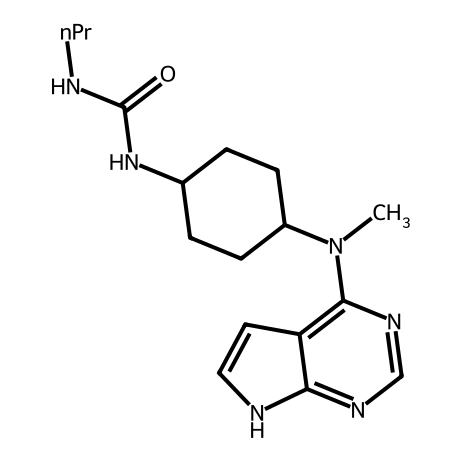 CCCNC(=O)NC1CCC(N(C)c2ncnc3[nH]ccc23)CC1